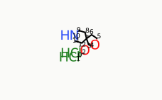 Cl.Cl.O=C1OCCC12CCNCC2